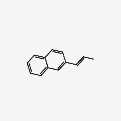 C/C=C/c1ccc2ccccc2c1